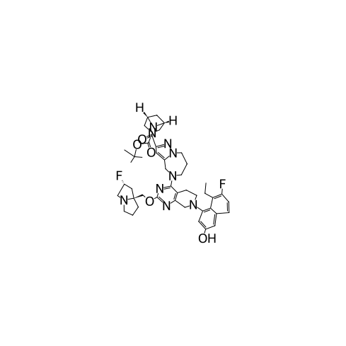 CCc1c(F)ccc2cc(O)cc(N3CCc4c(nc(OC[C@@]56CCCN5C[C@H](F)C6)nc4N4CCCn5nc(C(=O)N6[C@@H]7C[C@H]6CN(C(=O)OC(C)(C)C)C7)cc5C4)C3)c12